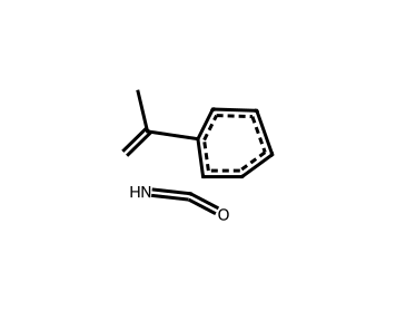 C=C(C)c1ccccc1.N=C=O